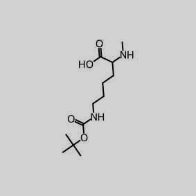 CNC(CCCCNC(=O)OC(C)(C)C)C(=O)O